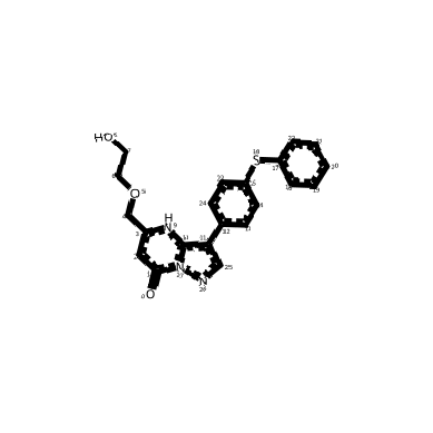 O=c1cc(COCCO)[nH]c2c(-c3ccc(Sc4ccccc4)cc3)cnn12